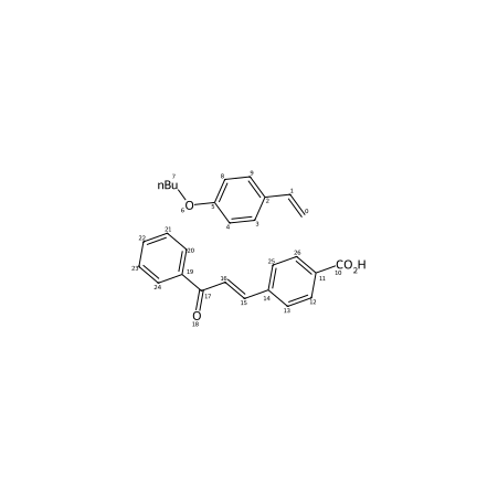 C=Cc1ccc(OCCCC)cc1.O=C(O)c1ccc(/C=C/C(=O)c2ccccc2)cc1